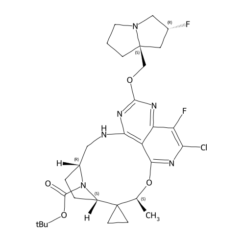 C[C@@H]1Oc2nc(Cl)c(F)c3nc(OC[C@@]45CCCN4C[C@H](F)C5)nc(c23)NC[C@H]2CC[C@H](N2C(=O)OC(C)(C)C)C12CC2